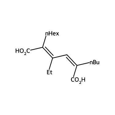 CCCCCCC(C(=O)O)=C(C=C(CCCC)C(=O)O)CC